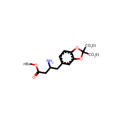 CCCCOC(=O)CC(N)Cc1ccc2c(c1)OC(C(=O)OCC)(C(=O)OCC)O2